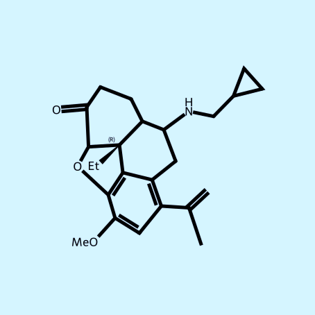 C=C(C)c1cc(OC)c2c3c1CC(NCC1CC1)C1CCC(=O)C(O2)[C@@]31CC